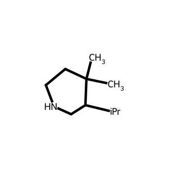 CC(C)C1CNCCC1(C)C